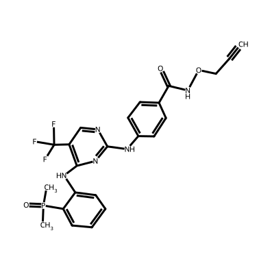 C#CCONC(=O)c1ccc(Nc2ncc(C(F)(F)F)c(Nc3ccccc3P(C)(C)=O)n2)cc1